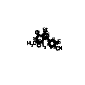 CCc1nn(-c2ccc(C#N)c(F)c2)c2c1C(=O)CC(C)(C)C2